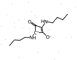 CCCCNc1c([O-])[c+](NCCCC)c1=O